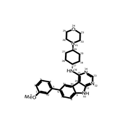 COc1cccc(-c2ccc3[nH]c4ncnc(N[C@H]5CC[C@H](N6CCOCC6)CC5)c4c3c2)c1